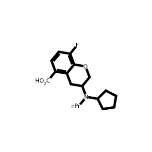 CCCN(C1CCCC1)C1COc2c(F)ccc(C(=O)O)c2C1